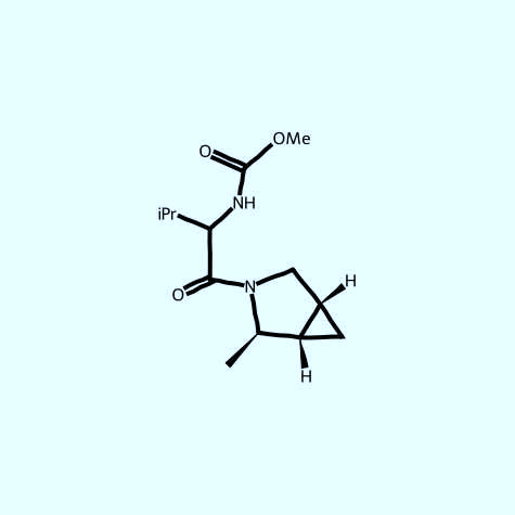 COC(=O)NC(C(=O)N1C[C@@H]2C[C@@H]2[C@H]1C)C(C)C